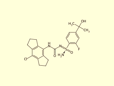 CC(C)(O)c1ccc([S@](N)(=O)=NC(=O)Nc2c3c(c(Cl)c4c2CCC4)CCC3)c(F)c1